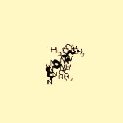 CCC(C)(O)c1cn(-c2cnc(-n3ncc4cc(C#N)cnc43)cc2NC(C)C)nn1